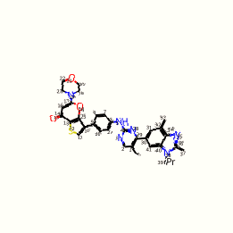 Cc1cnc(Nc2ccc(-c3csc4c(=O)cc(N5CCOCC5)oc34)cc2)nc1-c1cc(C)c2nc(C)n(C(C)C)c2c1